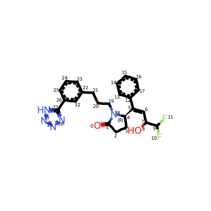 O=C1CC[C@H](C(=CC(O)C(F)F)c2ccccc2)N1CCCc1cccc(-c2nnn[nH]2)c1